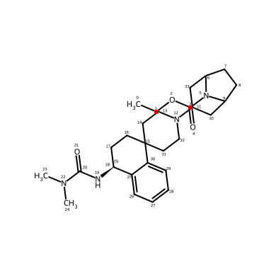 CCOC(=O)N1C2CCC1CC(N1CCC3(CC[C@H](NC(=O)N(C)C)c4ccccc43)CC1)C2